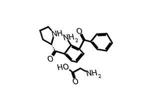 NCC(=O)O.Nc1c(C(=O)c2ccccc2)cccc1C(=O)[C@@H]1CCCN1